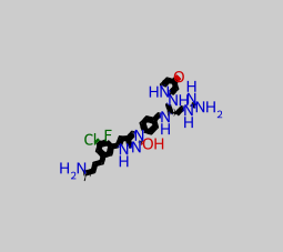 C[C@H](N)CCCc1cc(Cl)c(F)c(-c2cc3c([nH]2)=NC(O)N(c2ccc(CN[C@H](CCNC(=N)N)CNc4cc(=O)cc[nH]4)cc2)C=3)c1